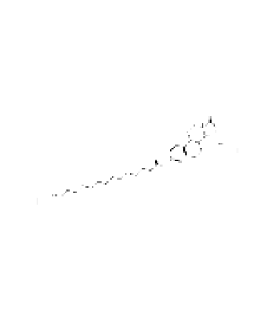 CCCCCCCCCCCCCCCC(=O)Oc1ccc2c(c1)CCC1C2CCC2(C)C(=O)CC(CCC)C12